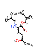 CCCCC(CC)CNC(CCC(=O)OC)C(=O)OCC(CC)CCCC